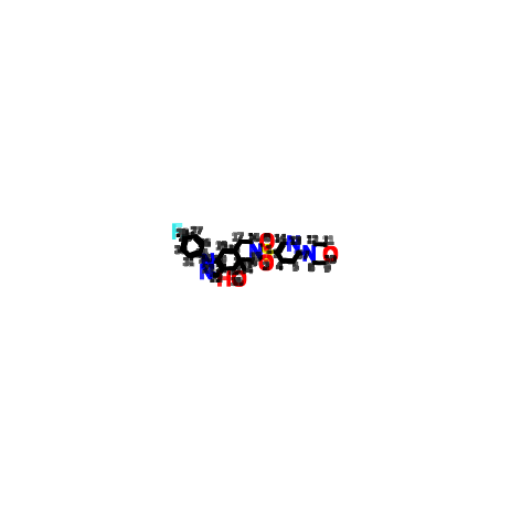 O=S(=O)(c1ccc(N2CCOCC2)nc1)N1CCC2=Cc3c(cnn3-c3ccc(F)cc3)CC2(CO)C1